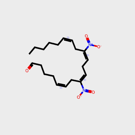 CCCCC/C=C\C/C(=C\C/C=C(\C/C=C\CCC[C]=O)[N+](=O)[O-])[N+](=O)[O-]